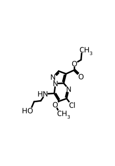 CCOC(=O)c1cnn2c(NCCO)c(OC)c(Cl)nc12